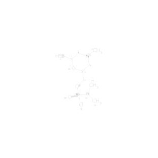 BC1CN(C)CC(COP(=O)(Cl)N(C)C)O1